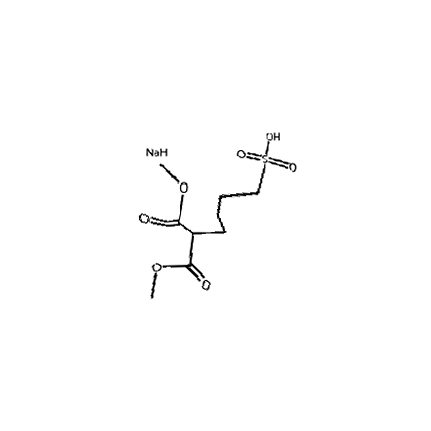 COC(=O)C(CCCS(=O)(=O)O)C(=O)OC.[NaH]